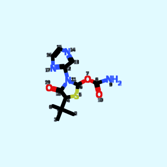 CC(C)(C)C1SC(OC(N)=O)N(c2cnccn2)C1=O